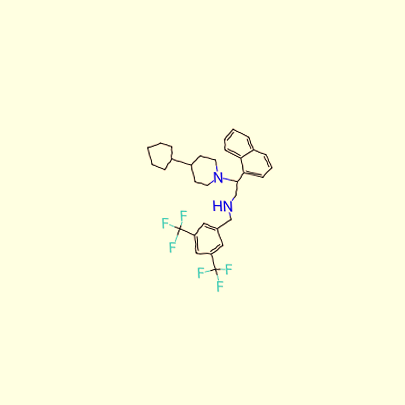 FC(F)(F)c1cc(CNCC(c2cccc3ccccc23)N2CCC(C3CCCCC3)CC2)cc(C(F)(F)F)c1